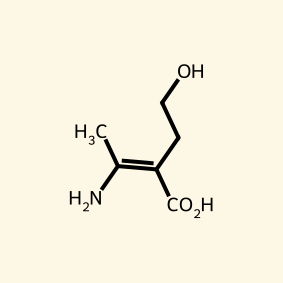 CC(N)=C(CCO)C(=O)O